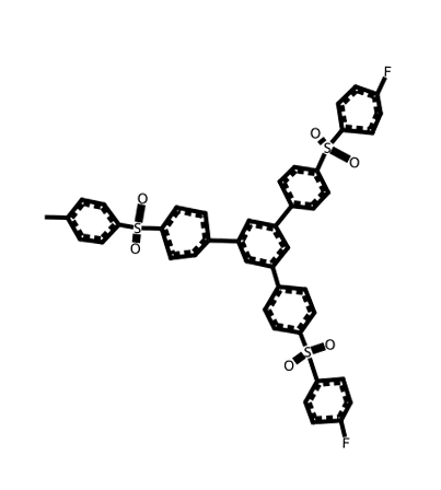 Cc1ccc(S(=O)(=O)c2ccc(-c3cc(-c4ccc(S(=O)(=O)c5ccc(F)cc5)cc4)cc(-c4ccc(S(=O)(=O)c5ccc(F)cc5)cc4)c3)cc2)cc1